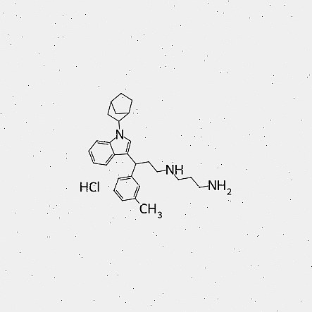 Cc1cccc(C(CCNCCCN)c2cn(C3CC4CCC3C4)c3ccccc23)c1.Cl